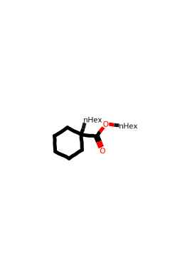 CCCCCCOC(=O)C1(CCCCCC)CCCCC1